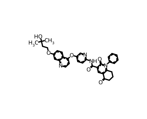 CC(C)(O)CCOc1ccc2c(Oc3ccc(NC(=O)c4cc5c(n(-c6ccccc6)c4=O)CCCC5=O)nc3)ccnc2c1